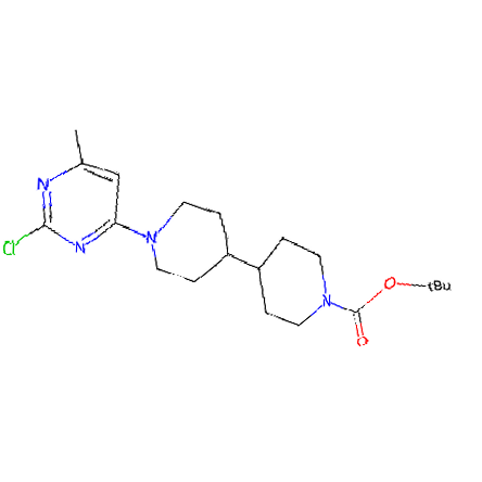 Cc1cc(N2CCC(C3CCN(C(=O)OC(C)(C)C)CC3)CC2)nc(Cl)n1